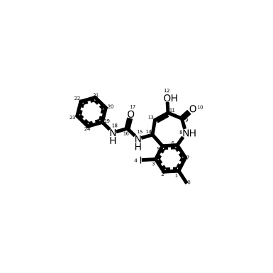 Cc1cc(I)c2c(c1)NC(=O)C(O)=CC2NC(=O)Nc1ccccc1